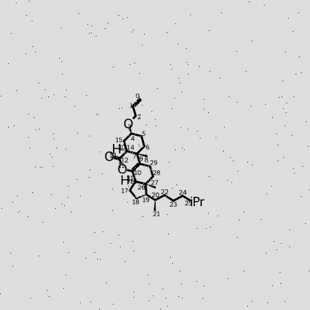 C=CCO[C@H]1CC[C@]2(C)C3=C(OC(=O)[C@H]2C1)[C@@H]1CC[C@H]([C@H](C)CCCC(C)C)[C@@]1(C)CC3